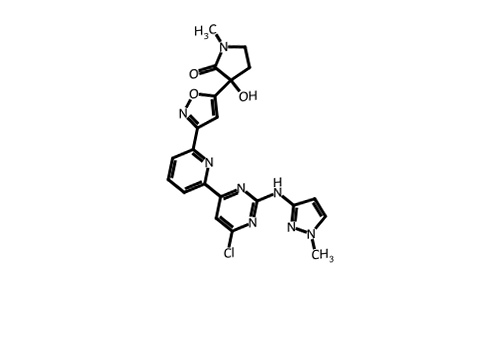 CN1CCC(O)(c2cc(-c3cccc(-c4cc(Cl)nc(Nc5ccn(C)n5)n4)n3)no2)C1=O